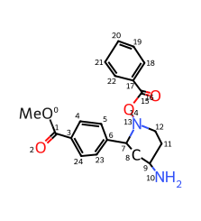 COC(=O)c1ccc(C2CC(N)CCN2OC(=O)c2ccccc2)cc1